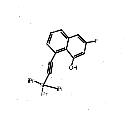 CC(C)[Si](C#Cc1cccc2cc(F)cc(O)c12)(C(C)C)C(C)C